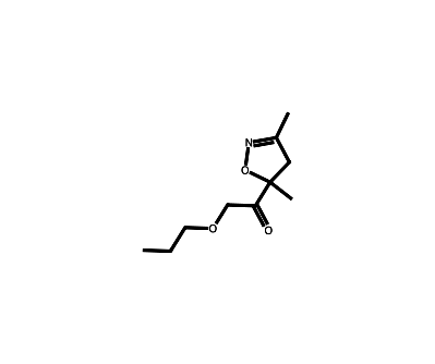 CCCOCC(=O)C1(C)CC(C)=NO1